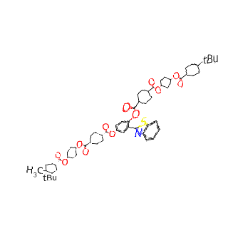 CC(C)(C)C1CCC(C(=O)O[C@H]2CC[C@H](OC(=O)C3CCC(C(=O)Oc4ccc(OC(=O)[C@H]5CC[C@H](C(=O)O[C@H]6CC[C@H](OC(=O)[C@H]7CC[C@@](C)(C(C)(C)C)CC7)CC6)CC5)cc4-c4nc5ccccc5s4)CC3)CC2)CC1